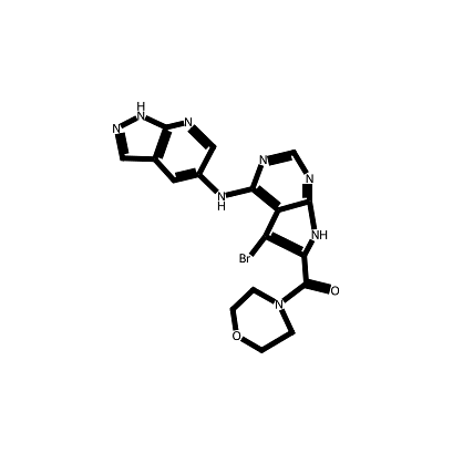 O=C(c1[nH]c2ncnc(Nc3cnc4[nH]ncc4c3)c2c1Br)N1CCOCC1